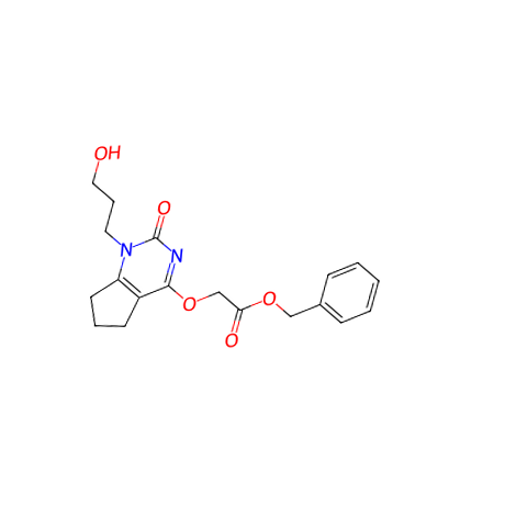 O=C(COc1nc(=O)n(CCCO)c2c1CCC2)OCc1ccccc1